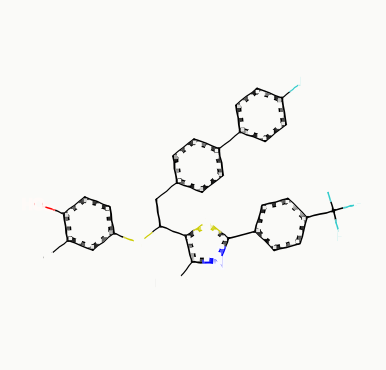 Cc1cc(SC(Cc2ccc(-c3ccc(F)cc3)cc2)c2sc(-c3ccc(C(F)(F)F)cc3)nc2C)ccc1O